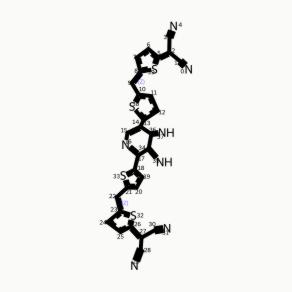 N#CC(C#N)=c1cc/c(=C/c2ccc(C3=CN=C(c4ccc(/C=c5/ccc(=C(C#N)C#N)s5)s4)C(=N)C3=N)s2)s1